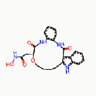 O=C(C[C@@H]1OCCCCc2[nH]c3ccccc3c2C(=O)Nc2ccccc2NC1=O)NO